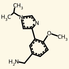 COc1ccc(CN)cc1-c1cn(C(C)C)cn1